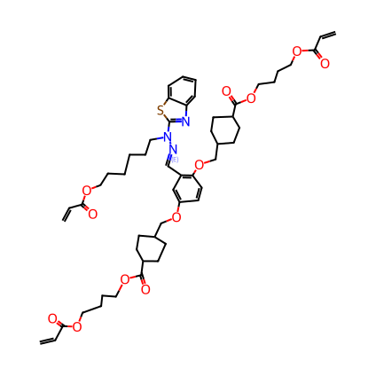 C=CC(=O)OCCCCCCN(/N=C/c1cc(OCC2CCC(C(=O)OCCCCOC(=O)C=C)CC2)ccc1OCC1CCC(C(=O)OCCCCOC(=O)C=C)CC1)c1nc2ccccc2s1